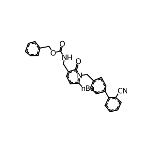 CCCCc1ccc(CNC(=O)OCc2ccccc2)c(=O)n1Cc1ccc(-c2ccccc2C#N)cc1